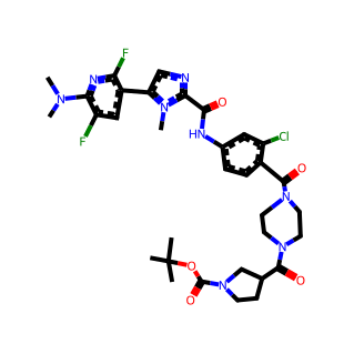 CN(C)c1nc(F)c(-c2cnc(C(=O)Nc3ccc(C(=O)N4CCN(C(=O)C5CCN(C(=O)OC(C)(C)C)C5)CC4)c(Cl)c3)n2C)cc1F